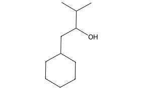 CC(C)C(O)CC1CCCCC1